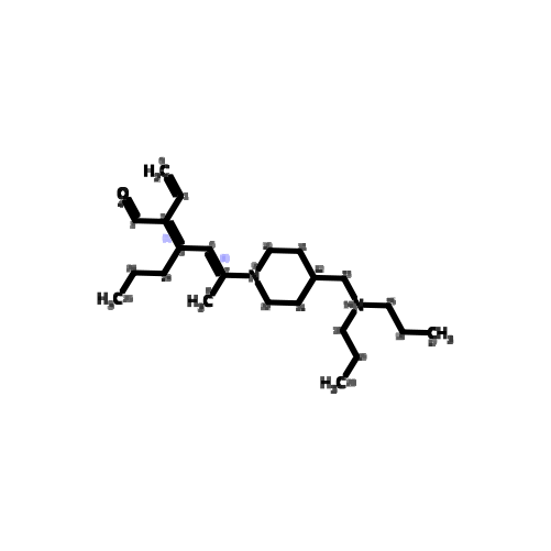 C=C/C(C=O)=C(\C=C(/C)N1CCC(CN(CCC)CCC)CC1)CCC